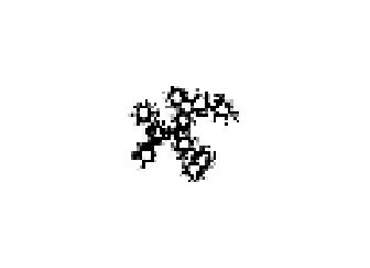 Cc1ccc(-c2ccc3c4ccccc4c4cc5c(cc4c3c2)c2cc(-c3cccc4ccccc34)ccc2n5-c2cc(-c3ccccc3)nc(-c3ccccc3)c2)cc1